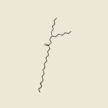 CCCCCCCCCCCCCCCC(=O)OCC(CCCCCC)CCCCCC